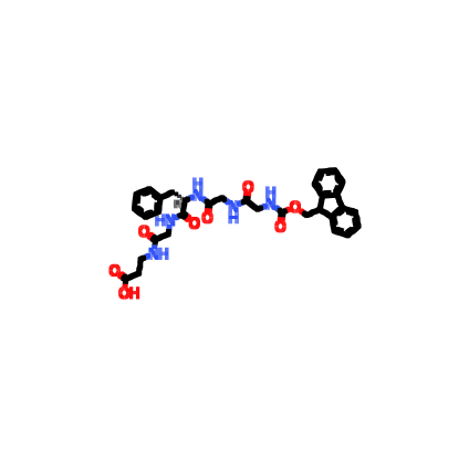 O=C(O)CCNC(=O)CNC(=O)[C@H](Cc1ccccc1)NC(=O)CNC(=O)CNC(=O)OCC1c2ccccc2-c2ccccc21